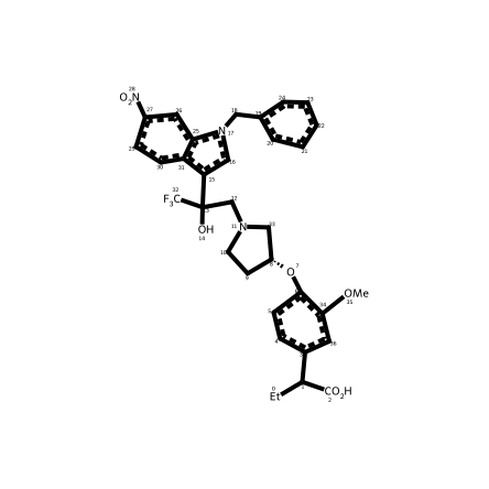 CCC(C(=O)O)c1ccc(O[C@@H]2CCN(CC(O)(c3cn(Cc4ccccc4)c4cc([N+](=O)[O-])ccc34)C(F)(F)F)C2)c(OC)c1